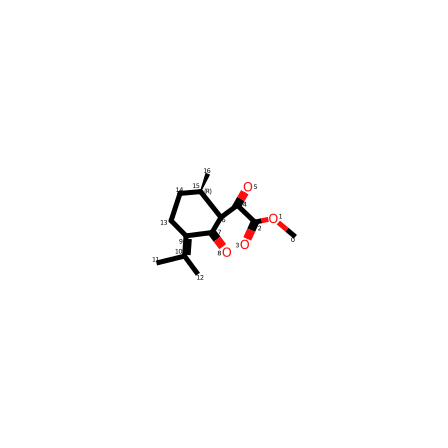 COC(=O)C(=O)C1C(=O)C(=C(C)C)CC[C@H]1C